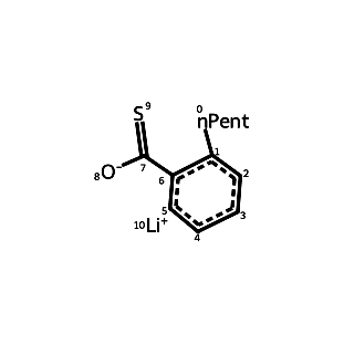 CCCCCc1ccccc1C([O-])=S.[Li+]